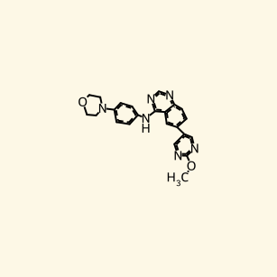 COc1ncc(-c2ccc3ncnc(Nc4ccc(N5CCOCC5)cc4)c3c2)cn1